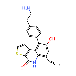 C=Cc1cc(O)c(-c2ccc(CCN)cc2)c2c1[nH]c(=O)c1sccc12